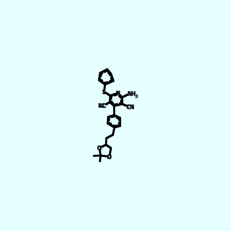 CC1(C)OCC(CCc2ccc(-c3c(C#N)c(N)nc(Sc4ccccc4)c3C#N)cc2)O1